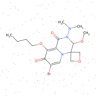 CCCCOc1c2n(cc(Br)c1=O)C1(COC1)C(OC)N(N(C)C)C2=O